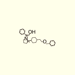 OC[C@H](c1ccccc1)N1CCC[C@@H]1C1CCC(CCOCc2ccccc2)CC1